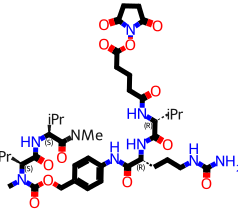 CNC(=O)[C@@H](NC(=O)[C@H](C(C)C)N(C)C(=O)OCc1ccc(NC(=O)[C@@H](CCCNC(N)=O)NC(=O)[C@H](NC(=O)CCCC(=O)ON2C(=O)CCC2=O)C(C)C)cc1)C(C)C